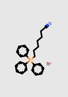 N#CCCCCCC[P+](c1ccccc1)(c1ccccc1)c1ccccc1.[Br-]